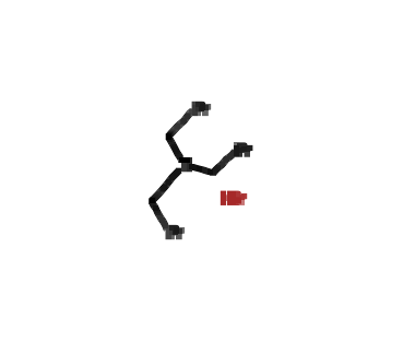 Br.CC(C)[CH2][Ti]([CH2]C(C)C)[CH2]C(C)C